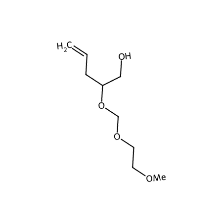 C=CCC(CO)OCOCCOC